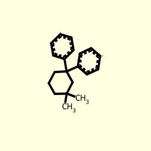 CC1(C)CCCC(c2cc[c]cc2)(c2cc[c]cc2)C1